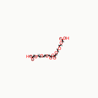 O=C(O)COCCOCCOCC(=O)OC(=O)COCCOCCOCC(=O)O